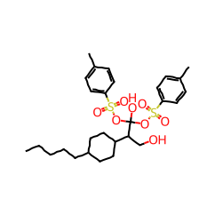 CCCCCC1CCC(C(CO)C(O)(OS(=O)(=O)c2ccc(C)cc2)OS(=O)(=O)c2ccc(C)cc2)CC1